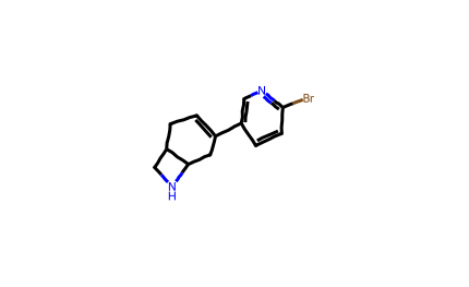 Brc1ccc(C2=CCC3CNC3C2)cn1